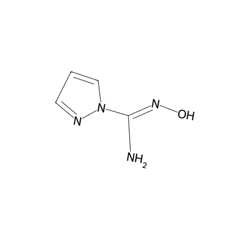 NC(=NO)n1cccn1